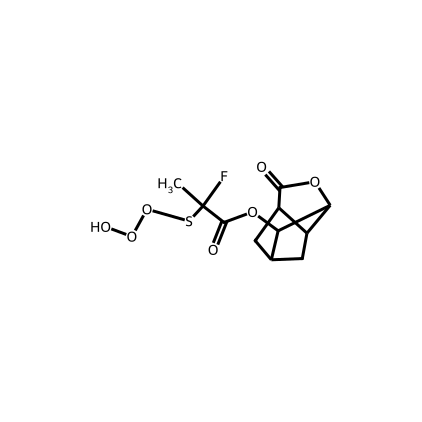 CC(F)(SOOO)C(=O)OC1C2CC3C(=O)OC1C3C2